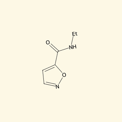 [CH2]CNC(=O)c1ccno1